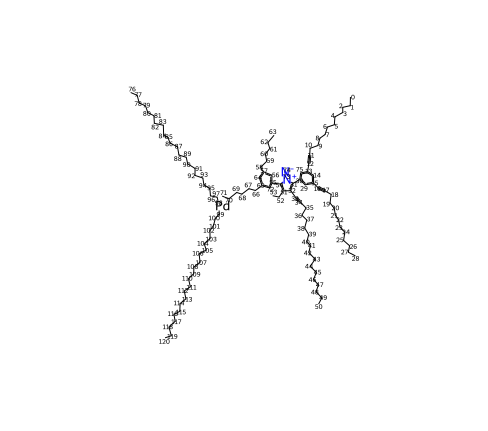 CCCCCCCCCCCC#Cc1cc(C#CCCCCCCCCCCC)cc(C2=C(C#CCCCCCCCCCCCCCCCC)C(CC)=C(c3cc(CCCCCC)cc(CCCCCC)c3)[N+]2=[N-])c1.CCCCCCCCCCCCCCCCCCCCC[CH2][Pd][CH2]CCCCCCCCCCCCCCCCCCCCC